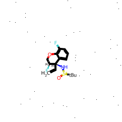 C=C[C@@]1(N[S+]([O-])C(C)(C)C)c2cccc(F)c2OC[C@@H]1F